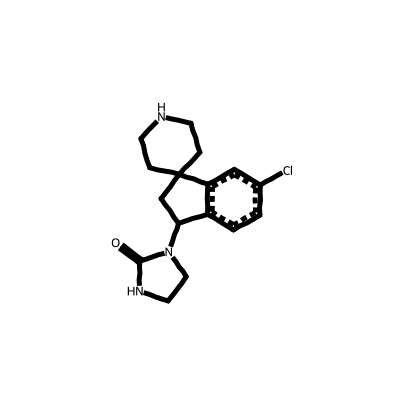 O=C1NCCN1C1CC2(CCNCC2)c2cc(Cl)ccc21